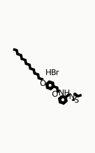 Br.CCCCCCCCCCCCCCOc1ccc(CC(=O)Nc2ccccc2CN2C=C(C)SC2)cc1